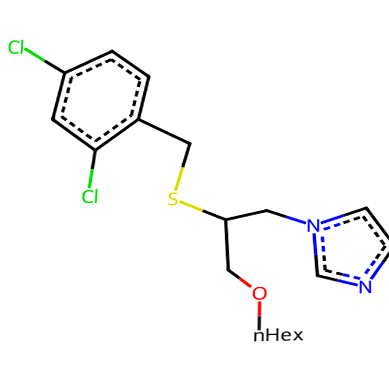 CCCCCCOCC(Cn1ccnc1)SCc1ccc(Cl)cc1Cl